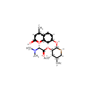 CC(=O)O[C@@H]1[C@@H](OC(=O)CN(C)C)[C@@H](Oc2ccc3c(C)cc(=O)oc3c2)SC[C@H]1OC(C)=O